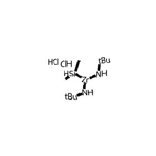 C[SiH](C)[Zr]([NH]C(C)(C)C)[NH]C(C)(C)C.Cl.Cl